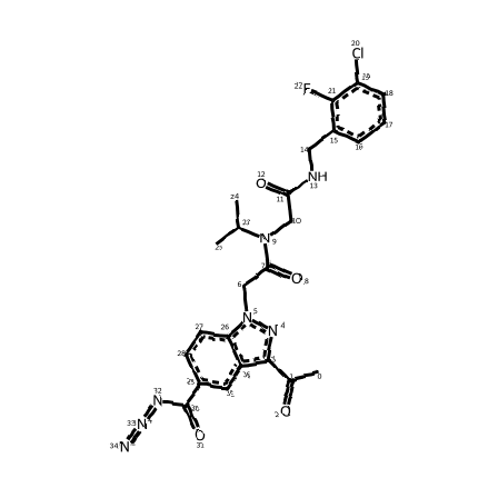 CC(=O)c1nn(CC(=O)N(CC(=O)NCc2cccc(Cl)c2F)C(C)C)c2ccc(C(=O)N=[N+]=[N-])cc12